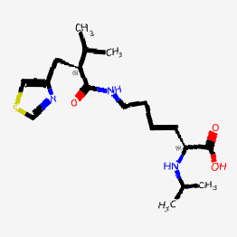 CC(C)N[C@@H](CCCCNC(=O)[C@@H](Cc1cscn1)C(C)C)C(=O)O